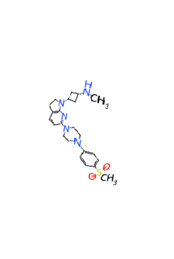 CNC1CC(N2CCc3ccc(N4CCN(c5ccc(S(C)(=O)=O)cc5)CC4)nc32)C1